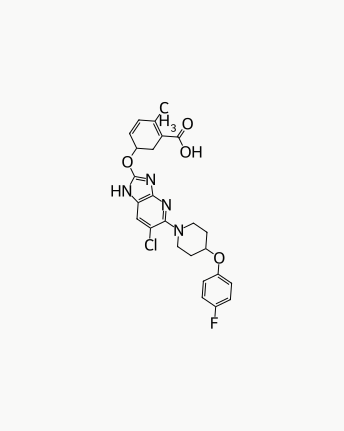 CC1=C(C(=O)O)CC(Oc2nc3nc(N4CCC(Oc5ccc(F)cc5)CC4)c(Cl)cc3[nH]2)C=C1